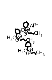 CCCCP(=O)([O-])C(C)C1CCCCC1.CCCCP(=O)([O-])C(C)C1CCCCC1.CCCCP(=O)([O-])C(C)C1CCCCC1.[Al+3]